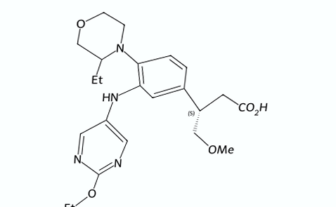 CCOc1ncc(Nc2cc([C@@H](COC)CC(=O)O)ccc2N2CCOCC2CC)cn1